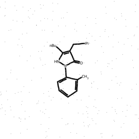 CCCCc1[nH]n(-c2ccccc2C)c(=O)c1CC(C)C